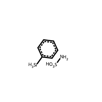 NS(=O)(=O)O.[SiH3]c1ccccc1